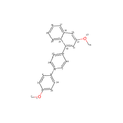 COc1ccc(-c2ccc(-c3cc(OC)cc4ccccc34)cc2)cc1